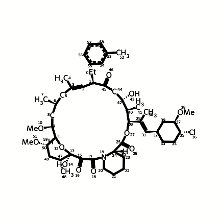 CC[C@@H]1/C=C(\C)C[C@H](C)C[C@H](OC)[C@H]2O[C@@](O)(C(=O)C(=O)N3CCCC[C@H]3C(=O)O[C@H](/C(C)=C/[C@@H]3CC[C@@H](Cl)[C@H](OC)C3)[C@H](C)[C@@H](O)CC1=O)[C@H](C)C[C@@H]2OC.Cc1ccccc1